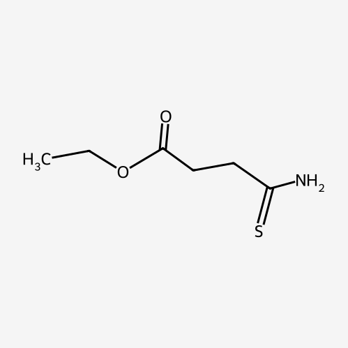 CCOC(=O)CCC(N)=S